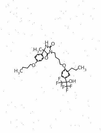 CCCCOc1ccc(C2(C)NC(=O)N(CCCCOc3ccc(C(O)(C(F)(F)F)C(F)(F)F)cc3CCC)C2=O)cc1